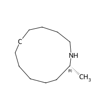 C[C@@H]1CCCCCCCCCCN1